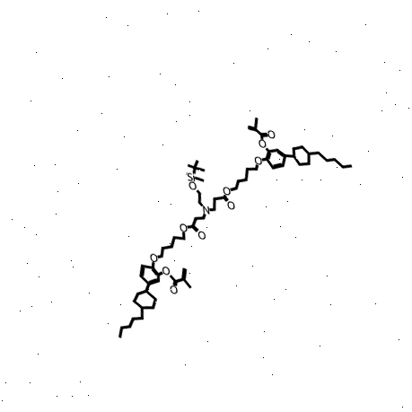 C=C(C)C(=O)Oc1cc(C2CCC(CCCCC)CC2)ccc1OCCCCCOC(=O)CCN(CCO[Si](C)(C)C(C)(C)C)CCC(=O)OCCCCCOc1ccc(C2CCC(CCCCC)CC2)cc1OC(=O)C(=C)C